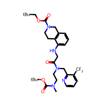 CN(CCN(Cc1ncccc1C(F)(F)F)C(=O)CNc1cccc2c1CCN(C(=O)OCC(C)(C)C)C2)C(=O)OC(C)(C)C